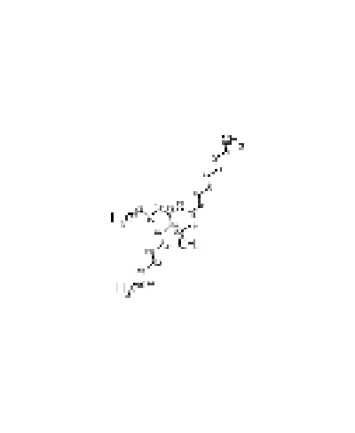 CCCCCCCCC(CCC)CC(CCCC)CCCCCCCC